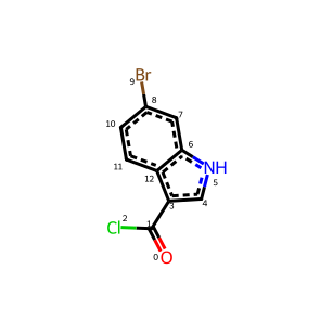 O=C(Cl)c1c[nH]c2cc(Br)ccc12